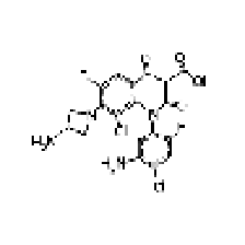 Nc1cc(N2C(=O)C(C(=O)O)C(=O)c3cc(F)c(N4CC(N)C4)c(Cl)c32)c(F)cc1Cl